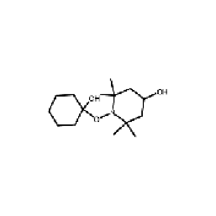 CC1(C)CC(O)CC(C)(C)N1OC1(O)CCCCC1